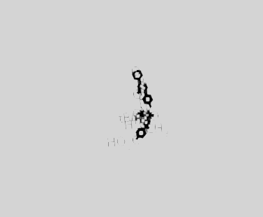 CC(C)(C)OC(=O)N[C@@H](Cc1ccc(N2CCN(C3CCOCC3)CC2=O)cc1)C(=O)NCC(C)(C)c1ccc(C(=O)O)cc1